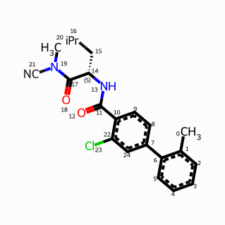 Cc1ccccc1-c1ccc(C(=O)N[C@@H](CC(C)C)C(=O)N(C)C#N)c(Cl)c1